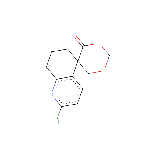 O=C1OCOCC12CCCc1nc(Cl)ccc12